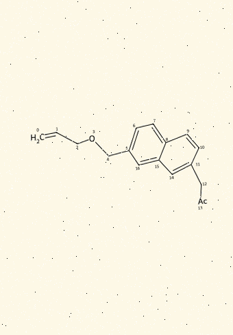 C=CCOCc1ccc2ccc(CC(C)=O)cc2c1